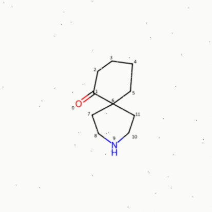 O=C1CCCCC12CCNCC2